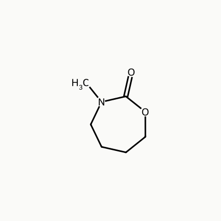 CN1CCCCOC1=O